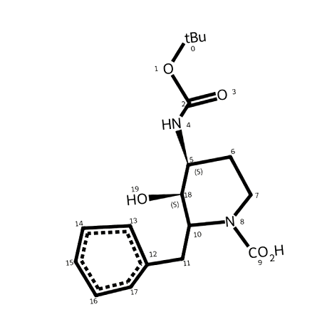 CC(C)(C)OC(=O)N[C@H]1CCN(C(=O)O)C(Cc2ccccc2)[C@H]1O